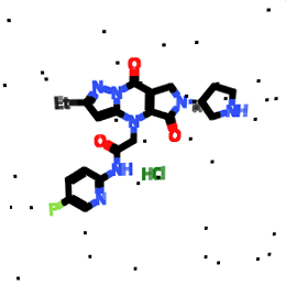 CCc1cc2n(CC(=O)Nc3ccc(F)cn3)c3c(c(=O)n2n1)CN([C@@H]1CCNC1)C3=O.Cl